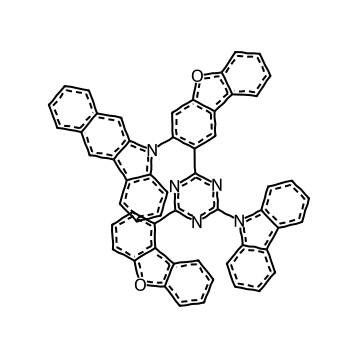 c1ccc2cc3c(cc2c1)c1ccccc1n3-c1cc2oc3ccccc3c2cc1-c1nc(-c2cccc3oc4ccccc4c23)nc(-n2c3ccccc3c3ccccc32)n1